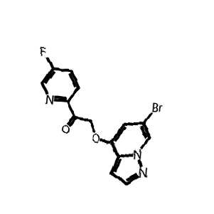 O=C(COc1cc(Br)cn2nccc12)c1ccc(F)cn1